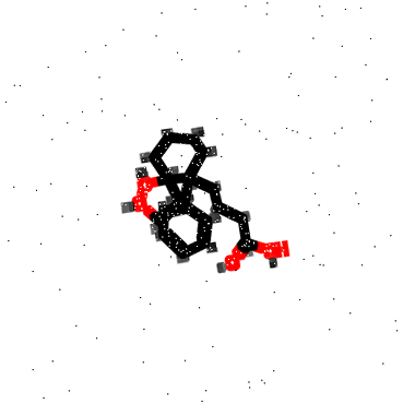 O=C(O)CCCC1(c2ccccc2)CCCCC12CCOO2